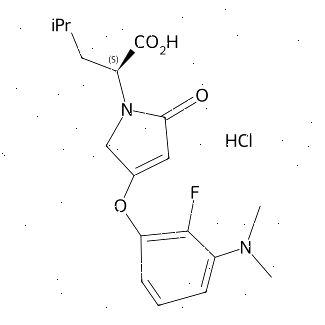 CC(C)C[C@@H](C(=O)O)N1CC(Oc2cccc(N(C)C)c2F)=CC1=O.Cl